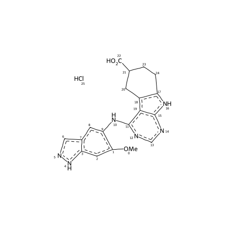 COc1cc2[nH]ncc2cc1Nc1ncnc2[nH]c3c(c12)CC(C(=O)O)CC3.Cl